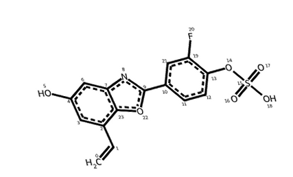 C=Cc1cc(O)cc2nc(-c3ccc(OS(=O)(=O)O)c(F)c3)oc12